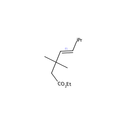 CCOC(=O)CC(C)(C)/C=C/C(C)C